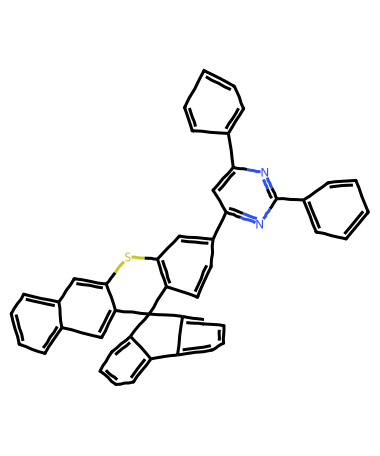 c1ccc(-c2cc(-c3ccc4c(c3)Sc3cc5ccccc5cc3C43c4ccccc4-c4ccccc43)nc(-c3ccccc3)n2)cc1